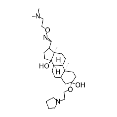 CN(C)CCO/N=C/C1CC[C@@]2(O)[C@@H]3CCC4CC(O)(OCCN5CCCC5)CC[C@]4(C)[C@@H]3CC[C@]12C